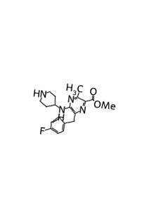 COC(=O)c1nc(Cc2ccc(F)cc2)c(NC2CCNCC2)nc1C